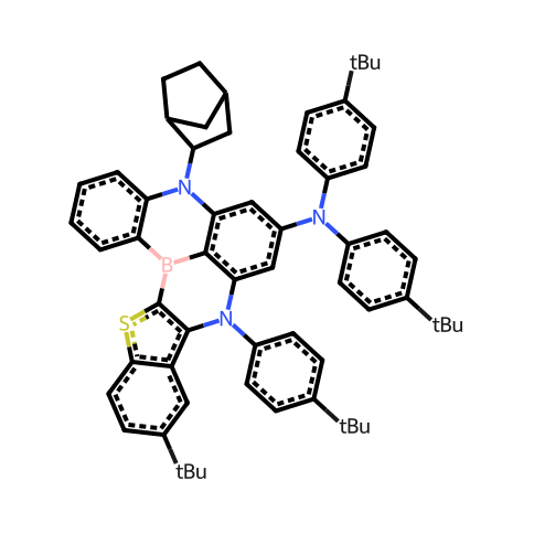 CC(C)(C)c1ccc(N(c2ccc(C(C)(C)C)cc2)c2cc3c4c(c2)N(C2CC5CCC2C5)c2ccccc2B4c2sc4ccc(C(C)(C)C)cc4c2N3c2ccc(C(C)(C)C)cc2)cc1